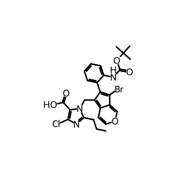 CCCc1nc(Cl)c(C(=O)O)n1Cc1c2ccocc-2c(Br)c1-c1ccccc1NC(=O)OC(C)(C)C